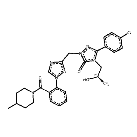 CC1CCN(C(=O)c2ccccc2-n2cnc(Cn3nc(-c4ccc(Cl)cc4)n(C[C@H](O)C(F)(F)F)c3=O)n2)CC1